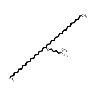 CCC=CCC=CCC=CCCCCCCCCC(CCCCCCCCC=CCC=CCC=CCC)OCCCCN(C)C